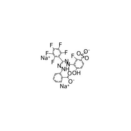 O=C([O-])c1ccccc1NN=C(N=Nc1c(O)ccc(S(=O)(=O)[O-])c1F)c1c(F)c(F)c(F)c(F)c1F.[Na+].[Na+]